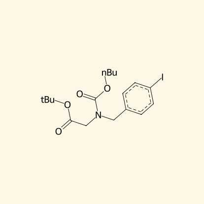 CCCCOC(=O)N(CC(=O)OC(C)(C)C)Cc1ccc(I)cc1